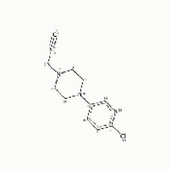 [C-]#[N+]CN1CCN(c2ccc(Cl)nc2)CC1